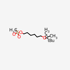 CC(C)(C)[Si](C)(C)OCCCCCCOS(C)(=O)=O